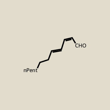 CCCCCCC/C=C/C=C\C=O